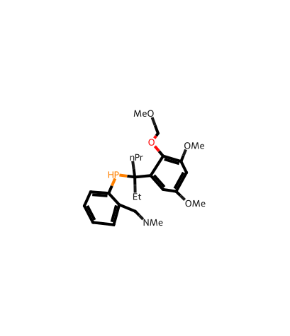 CCCC(CC)(Pc1ccccc1CNC)c1cc(OC)cc(OC)c1OCOC